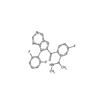 CNN(C)c1cc(F)ccc1C(=O)c1cc2cncnc2n1-c1c(F)cccc1F